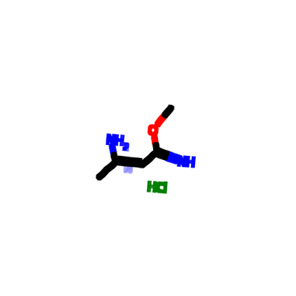 COC(=N)/C=C(/C)N.Cl